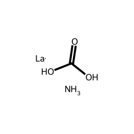 N.O=C(O)O.[La]